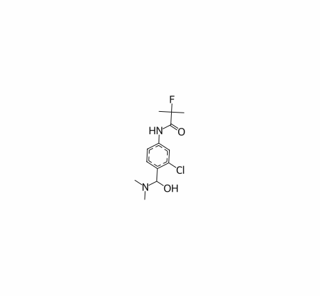 CN(C)C(O)c1ccc(NC(=O)C(C)(C)F)cc1Cl